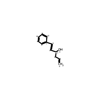 C=CCI(O)C=Cc1ccccc1